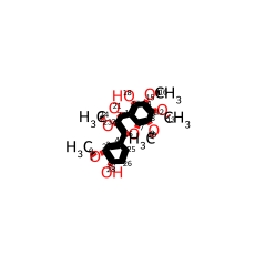 COc1cc(-c2oc3c(OC)c(OC)c(OC)c(O)c3c(=O)c2OC)ccc1O